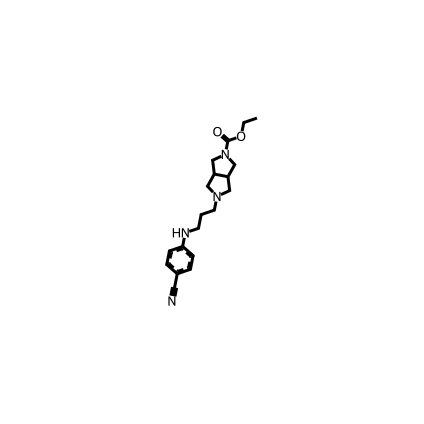 CCOC(=O)N1CC2CN(CCCNc3ccc(C#N)cc3)CC2C1